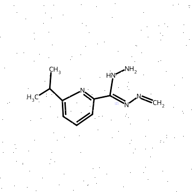 C=N/N=C(\NN)c1cccc(C(C)C)n1